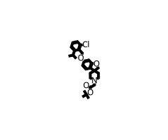 CC(C)c1cccc(Cl)c1COc1ccc2c(c1)OCC21CCN(CC(=O)OC(C)(C)C)CC1